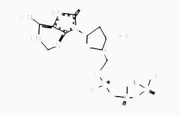 NC1=c2[nH]c(=O)n([C@H]3C[C@H](O)[C@@H](COP(=O)(O)OP(=O)(O)OP(=O)(O)O)O3)c2=NCN1